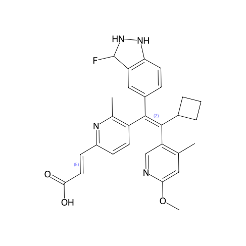 COc1cc(C)c(/C(=C(/c2ccc3c(c2)C(F)NN3)c2ccc(/C=C/C(=O)O)nc2C)C2CCC2)cn1